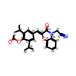 CC(=O)Oc1c(C(C)C)cc(C=C2Sc3ccccc3N(CC#N)C2=O)cc1C(C)C